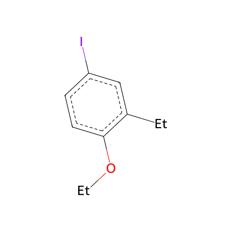 CCOc1ccc(I)cc1CC